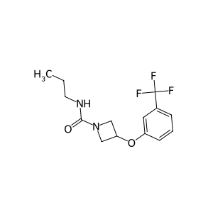 CCCNC(=O)N1CC(Oc2cccc(C(F)(F)F)c2)C1